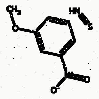 COc1cccc([N+](=O)[O-])c1.N=S